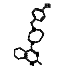 CCc1ccc(CN2CCCN(c3nc(C)nc4c3CCCC4)CC2)cc1